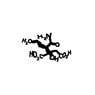 C=CCC(C(N)=O)C(O)(CC(=O)O)C(=O)O